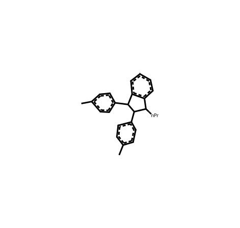 CCCC1c2cc[c]cc2C(c2ccc(C)cc2)C1c1ccc(C)cc1